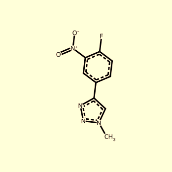 Cn1cc(-c2ccc(F)c([N+](=O)[O-])c2)nn1